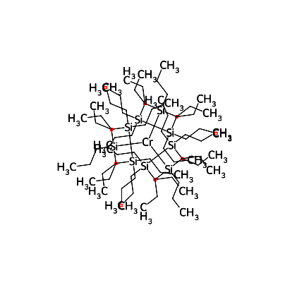 CCC[Si](CCC)(CCC)[C]([Cr]([C]([Si](CCC)(CCC)CCC)([Si](CCC)(CCC)CCC)[Si](CCC)(CCC)CCC)[C]([Si](CCC)(CCC)CCC)([Si](CCC)(CCC)CCC)[Si](CCC)(CCC)CCC)([Si](CCC)(CCC)CCC)[Si](CCC)(CCC)CCC